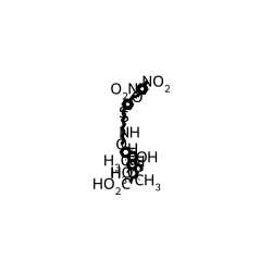 C[C@H](CCC(=O)O)[C@@H]1CC[C@H]2[C@@H]3[C@H](O)C[C@@H]4C[C@H](OCCNCCCSSc5ccc(COc6ccc([N+](=O)[O-])cc6[N+](=O)[O-])cc5)CC[C@]4(C)[C@H]3C[C@H](O)[C@@]21C